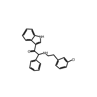 O=C(c1c[nH]c2ccccc12)C(NCCc1cccc(Cl)c1)c1ccccc1